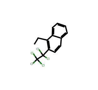 C[CH]c1c(C(Cl)(Cl)C(Cl)(Cl)Cl)ccc2ccccc12